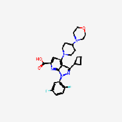 O=C(O)c1cc(N2CCC(N3CCOCC3)CC2)c2c(C3CCC3)nn(-c3cc(F)ccc3F)c2n1